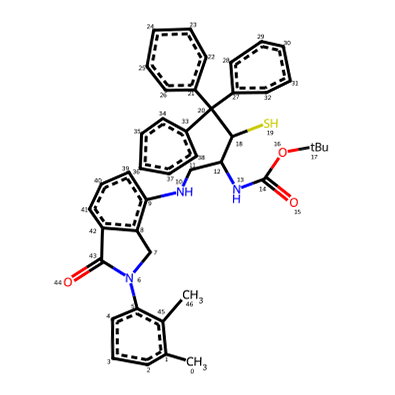 Cc1cccc(N2Cc3c(NCC(NC(=O)OC(C)(C)C)C(S)C(c4ccccc4)(c4ccccc4)c4ccccc4)cccc3C2=O)c1C